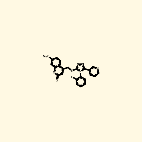 COc1ccc2c(CSc3nnc(-c4cccnc4)n3-c3ccccc3F)cc(=O)oc2c1